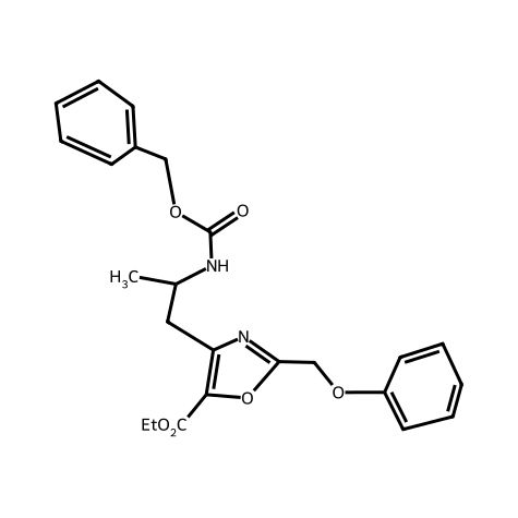 CCOC(=O)c1oc(COc2ccccc2)nc1CC(C)NC(=O)OCc1ccccc1